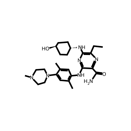 CCc1nc(C(N)=O)c(Nc2cc(C)c(N3CCN(C)CC3)cc2C)nc1N[C@H]1CC[C@H](O)CC1